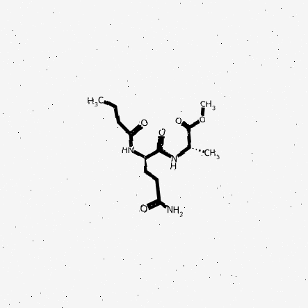 CCCC(=O)N[C@H](CCC(N)=O)C(=O)N[C@@H](C)C(=O)OC